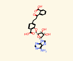 Nc1ncnc2c1ncn2[C@@H]1O[C@H](COc2cc(CCC(=O)c3ccccc3C(=O)O)ccc2C(=O)O)[C@@H](O)[C@H]1O